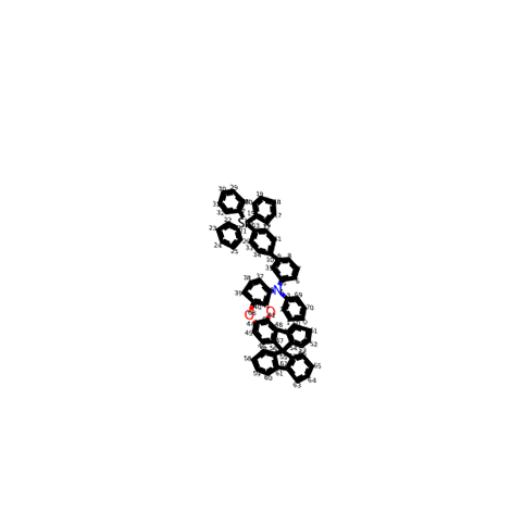 c1ccc(N(c2cccc(-c3ccc([Si](c4ccccc4)(c4ccccc4)c4ccccc4)cc3)c2)c2cccc3c2Oc2c(ccc4c2-c2ccccc2C42c4ccccc4-c4ccccc42)O3)cc1